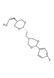 C/C=C\[C@H]1CO[C@H](CCC2COC(c3ccc(F)cc3)OC2)OC1